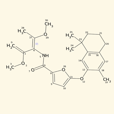 C=C(OC)/C(NC(=O)c1ccc(Oc2cc3c(cc2C)CCCC3(C)C)o1)=C(\C)OC